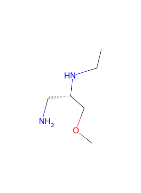 CCN[C@@H](CN)COC